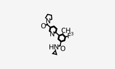 Cc1c(F)cc(C(=O)NC2CC2)cc1-c1ccc(C(=O)N2CCCC2)cn1